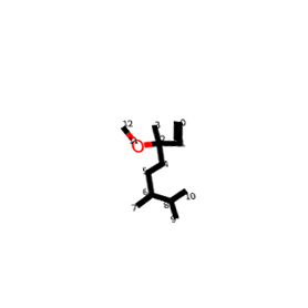 C=CC(C)(CCC(C)C(C)C)OC